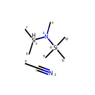 CC#N.CN([SiH](C)C)[Si](C)(C)C